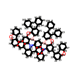 c1ccc(-c2ccc3c(c2-c2ccccc2)Oc2cc(-c4cccc5oc6ccccc6c45)cc4c2B3c2cc3c(cc2N4c2ccccc2)N(c2c(-c4ccccc4)cccc2-c2ccccc2)c2cc(-c4cccc5oc6ccccc6c45)cc4c2B3c2ccc(-c3ccccc3)c(-c3ccccc3)c2O4)cc1